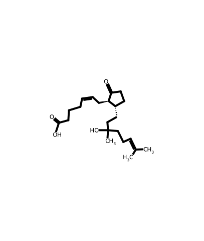 CC(C)=CCCC(C)(O)CC[C@H]1CCC(=O)[C@@H]1C/C=C\CCCC(=O)O